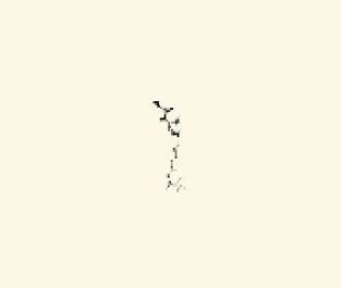 C#Cc1cnc2sc(SCCCCCC(C)[Si](C)(C)C)nn2c1=O